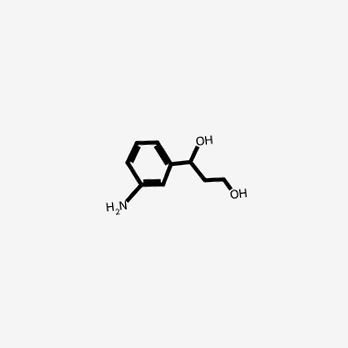 Nc1cccc(C(O)CCO)c1